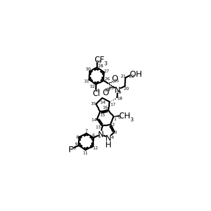 C[C@H]1C2=CNN(c3ccc(F)cc3)C2=CC2=C1[C@@H](CN(CCO)S(=O)(=O)c1cc(C(F)(F)F)ccc1Cl)CC2